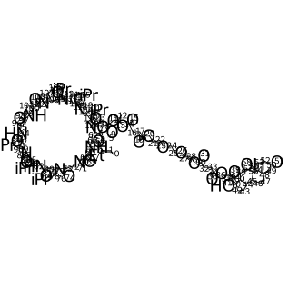 C/C=C/C[C@@H](C)C(OC(=O)OC(C)OC(=O)CCC(=O)OCCOCCOCCOC(=O)CCC(=O)OCC(=O)[C@@]1(O)CCC2C3CCC4=CC(=O)C=C[C@]4(C)C3[C@@H](O)C[C@@]21C)C1C(=O)NC(CC)C(=O)N(C)CC(=O)N(C)[C@@H](CC(C)C)C(=O)NC(C(C)C)C(=O)N(C)C(CC(C)C)C(=O)NC(C)C(=O)NC(C)C(=O)N(C)C(CC(C)C)C(=O)N(C)C(CC(C)C)C(=O)N(C)C(C(C)C)C(=O)N1C